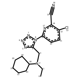 CCN(Cc1nnnn1-c1ccc(Cl)c(C#N)n1)C1CCCCC1